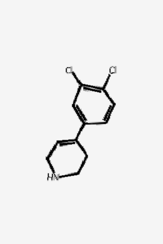 Clc1ccc(C2=CCNCC2)cc1Cl